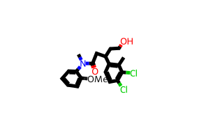 COc1ccccc1N(C)C(=O)CC(CCO)c1ccc(Cl)c(Cl)c1C